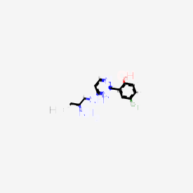 CCC(N)CNc1ccnc(-c2cc(Br)ccc2O)n1